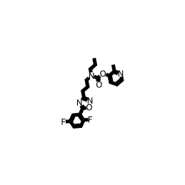 CCCN(CCCc1noc(-c2cc(F)ccc2F)n1)C(=O)Oc1cccnc1C